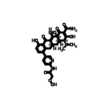 CN(C)[C@@H]1C(O)=C(C(N)=O)C(=O)[C@@]2(O)C(O)=C3C(=O)c4c(O)ccc(-c5ccc(NC(=O)COO)nc5)c4C[C@H]3C[C@@H]12